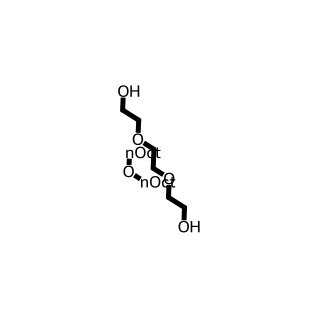 CCCCCCCCOCCCCCCCC.OCCOCCOCCO